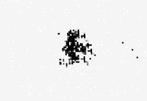 COc1ccc(-c2c3n(c4c(=O)oc5cc(OC)c(OC)cc5c24)CCc2cc(OC)c(OC)cc2C3=O)cc1CO